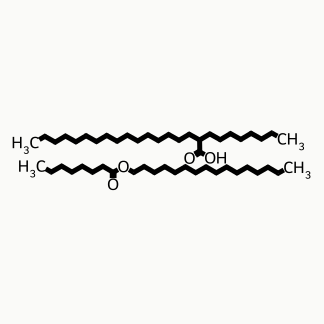 CCCCCCCCCCCCCCCCC(CCCCCCCC)C(=O)O.CCCCCCCCCCCCCCCCOC(=O)CCCCCCC